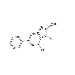 Cc1c(C=O)oc2cc(-c3ccccc3)cc(O)c12